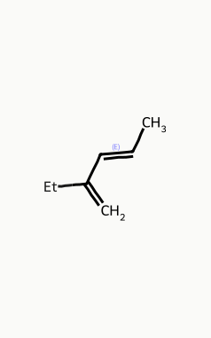 C=C(/C=C/C)CC